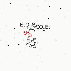 CCOC(=O)C(CC(C)C(=O)OCc1ccccc1)C(=O)OCC